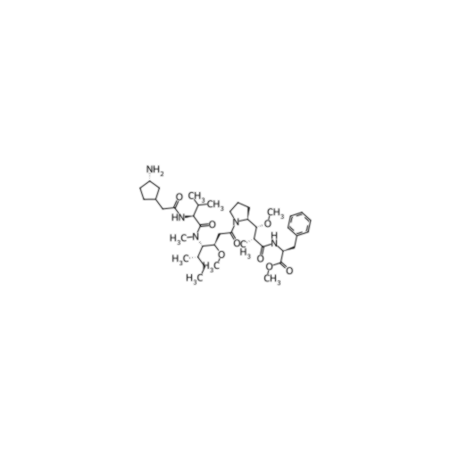 CC[C@H](C)[C@@H]([C@@H](CC(=O)N1CCC[C@H]1[C@H](OC)[C@@H](C)C(=O)N[C@@H](Cc1ccccc1)C(=O)OC)OC)N(C)C(=O)[C@@H](NC(=O)CC1CC[C@H](N)C1)C(C)C